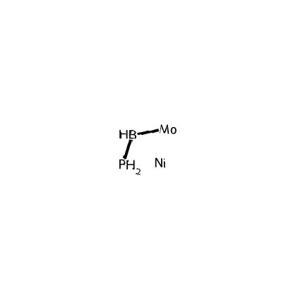 P[BH][Mo].[Ni]